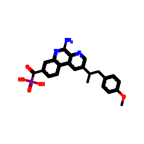 COc1ccc(CC(C)c2cnc3c(N)nc4cc(C(=O)P(=O)(O)O)ccc4c3c2)cc1